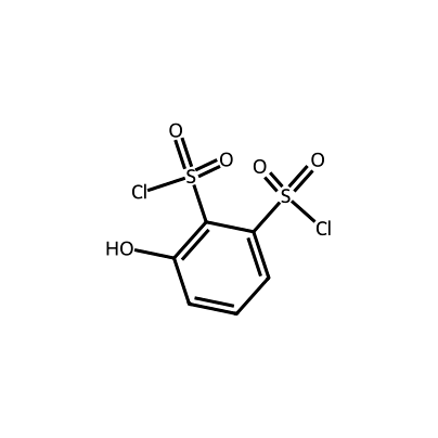 O=S(=O)(Cl)c1cccc(O)c1S(=O)(=O)Cl